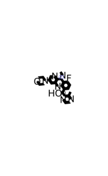 C=Nc1cc(N2CCOCC2)cnc1/C(=N\C)c1cc([C@H](O)c2nccnc2C)ccc1F